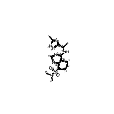 Cc1nnc(C(C)Nc2ncnc3c(S(=O)(=O)N(C)C)cccc23)s1